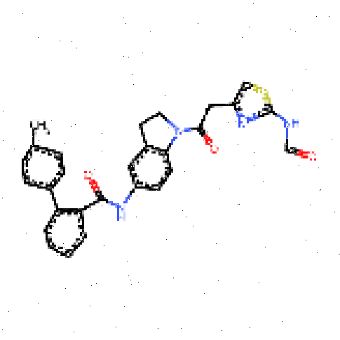 Cc1ccc(-c2ccccc2C(=O)Nc2ccc3c(c2)CCN3C(=O)Cc2csc(NC=O)n2)cc1